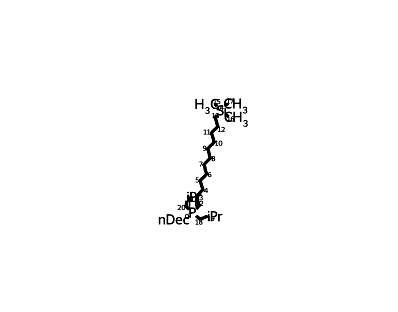 CCCCCCCCCC[PH](CCCCCCCCCCCC[Si](C)(C)C)(CC(C)C)CC(C)C